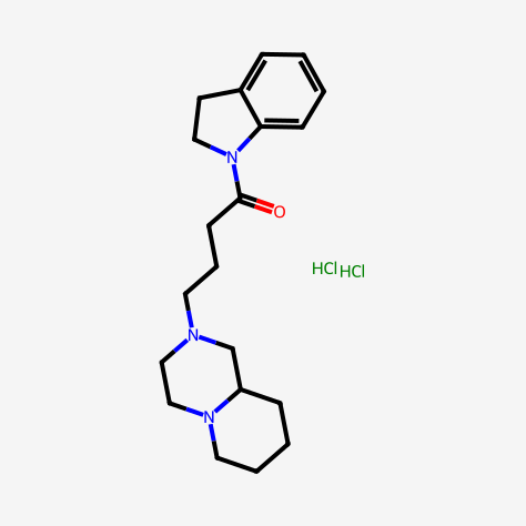 Cl.Cl.O=C(CCCN1CCN2CCCCC2C1)N1CCc2ccccc21